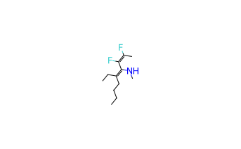 CCCC/C(CC)=C(NC)/C(F)=C(\C)F